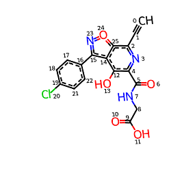 C#Cc1nc(C(=O)NCC(=O)O)c(O)c2c(-c3ccc(Cl)cc3)noc12